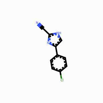 N#Cc1nc(-c2ccc(Cl)cc2)c[nH]1